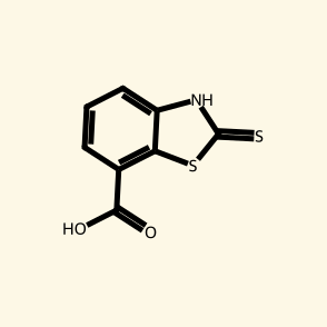 O=C(O)c1cccc2[nH]c(=S)sc12